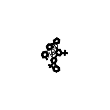 Cc1ccccc1N1B2c3c(cc(C(C)(C)C)cc3-n3c4ccccc4c4cccc2c43)-c2cc3c(cc21)C(C)(C)c1ccccc1-3